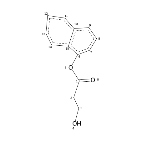 O=C(CCO)Oc1cccc2ccccc12